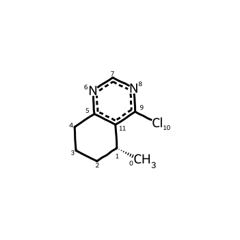 C[C@@H]1CCCc2ncnc(Cl)c21